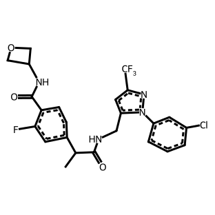 CC(C(=O)NCc1cc(C(F)(F)F)nn1-c1cccc(Cl)c1)c1ccc(C(=O)NC2COC2)c(F)c1